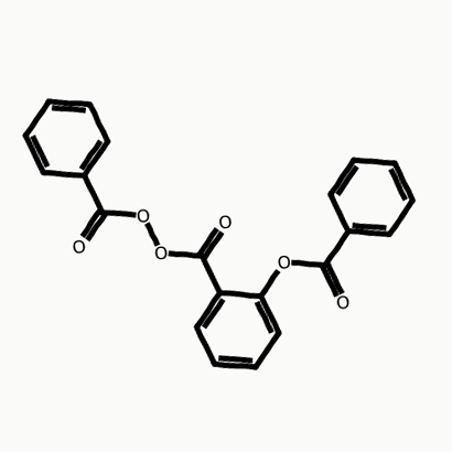 O=C(OOC(=O)c1ccccc1OC(=O)c1ccccc1)c1ccccc1